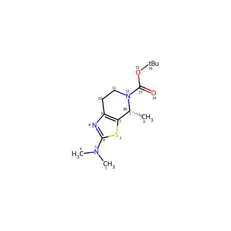 C[C@@H]1c2sc(N(C)C)nc2CCN1C(=O)OC(C)(C)C